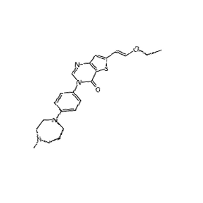 CCOC=Cc1cc2ncn(-c3ccc(N4CCCN(C)CC4)cc3)c(=O)c2s1